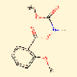 CCOc1ccccc1C(=O)ON(C)C(=O)OC(C)(C)C